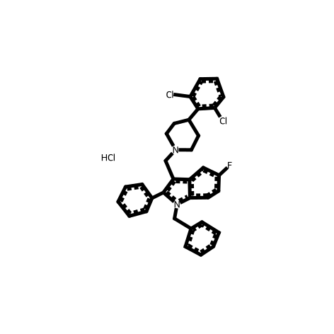 Cl.Fc1ccc2c(c1)c(CN1CCC(c3c(Cl)cccc3Cl)CC1)c(-c1ccccc1)n2Cc1ccccc1